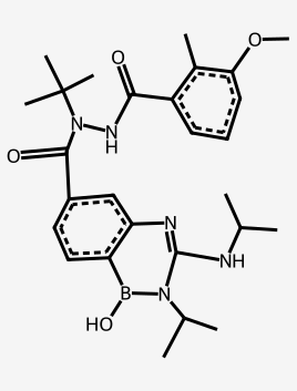 COc1cccc(C(=O)NN(C(=O)c2ccc3c(c2)N=C(NC(C)C)N(C(C)C)B3O)C(C)(C)C)c1C